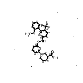 CCc1ccccc1-c1nc(NSc2cccc(N3CCCC(C(=O)O)C3)n2)ccc1C(F)(F)F